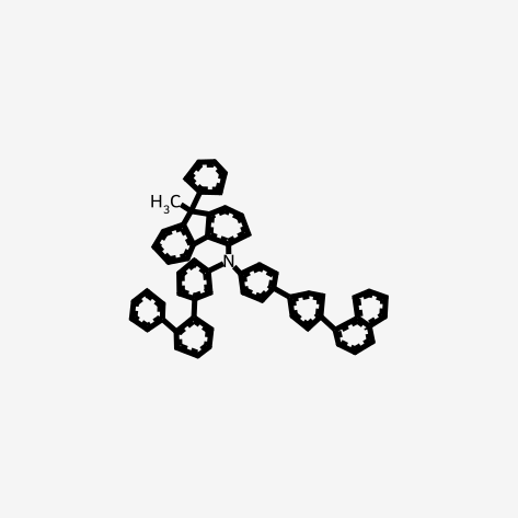 CC1(c2ccccc2)c2ccccc2-c2c(N(c3ccc(-c4ccc(-c5cccc6ccccc56)cc4)cc3)c3cccc(-c4ccccc4-c4ccccc4)c3)cccc21